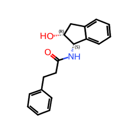 O=C(CCc1ccccc1)N[C@H]1c2ccccc2C[C@H]1O